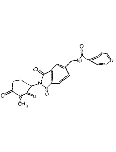 CN1C(=O)CCC(N2C(=O)c3ccc(CNC(=O)c4ccncc4)cc3C2=O)C1=O